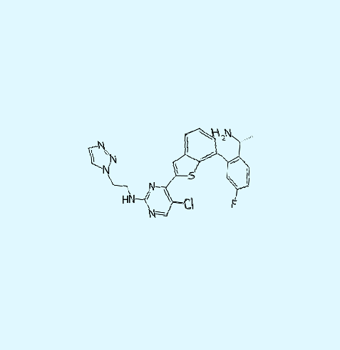 C[C@@H](N)c1ccc(F)cc1-c1cccc2cc(-c3nc(NCCn4ccnn4)ncc3Cl)sc12